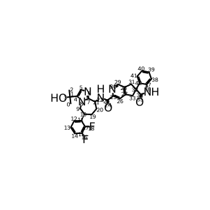 CC(C)(O)c1cnc2n1C[C@H](c1cccc(F)c1F)CCC2NC(=O)c1cc2c(cn1)CC1(C2)C(=O)Nc2ccccc21